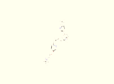 CC(C)(C)Cc1ccc(C2CC[C@@H](NC(C)(C)CCC(C)(C)Cc3ccc(OCCNC(C)(C)C)cn3)C2)cn1